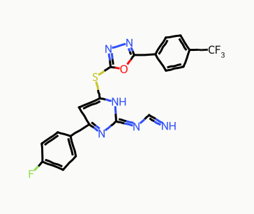 N=C/N=c1/nc(-c2ccc(F)cc2)cc(Sc2nnc(-c3ccc(C(F)(F)F)cc3)o2)[nH]1